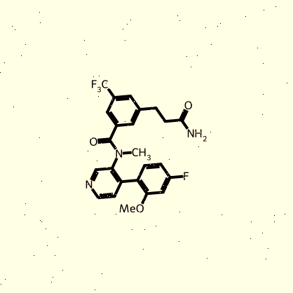 COc1cc(F)ccc1-c1ccncc1N(C)C(=O)c1cc(CCC(N)=O)cc(C(F)(F)F)c1